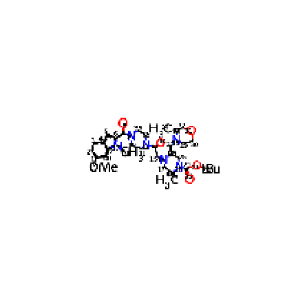 COc1ccc2cc(C(=O)N3CCN(C(=O)CN4C[C@@H](C)N(C(=O)OC(C)(C)C)C[C@@H]4CN4CCOC[C@H]4C)CC3)n(C)c2c1